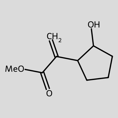 C=C(C(=O)OC)C1CCCC1O